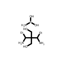 CCC(N)C(CO)(CO)C(N)CC.NP(O)O